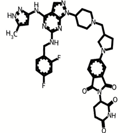 Cc1cc(Nc2nc(NCc3ccc(F)cc3F)nc3c2cnn3C2CCN(CC3CCN(c4ccc5c(c4)C(=O)N(C4CCC(=O)NC4=O)C5=O)C3)CC2)n[nH]1